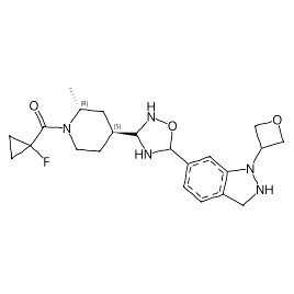 C[C@@H]1C[C@@H](C2NOC(c3ccc4c(c3)N(C3COC3)NC4)N2)CCN1C(=O)C1(F)CC1